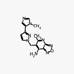 Cc1nc2nonc2c(N)c1Cn1ccc(-c2cncn2C)n1